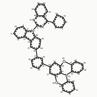 c1ccc(-c2nc(-n3c4ccccc4c4cc(-c5cccc(-c6cc7c8c(c6)Oc6ccccc6N8c6ccccc6O7)c5)ccc43)nc3ccccc23)cc1